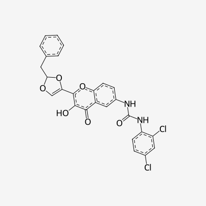 O=C(Nc1ccc2oc(C3=COC(Cc4ccccc4)O3)c(O)c(=O)c2c1)Nc1ccc(Cl)cc1Cl